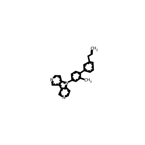 C=CCc1cccc(-c2ccc(-n3c4ccncc4c4cnccc43)cc2C)c1